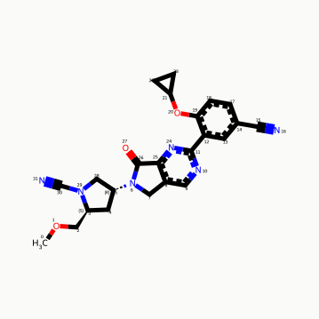 COC[C@@H]1C[C@@H](N2Cc3cnc(-c4cc(C#N)ccc4OC4CC4)nc3C2=O)CN1C#N